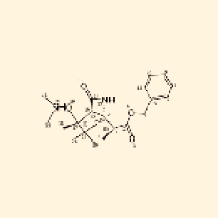 C[C@H](C(=O)OCc1ccccc1)[C@H]1NC(=O)[C@@H]1[C@@](C)(O[SiH](C)C)C(C)(C)C